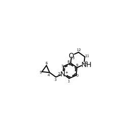 c1c[n+](CC2CC2)cc2c1NCCO2